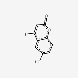 O=c1cc(F)c2cc(O)ccc2o1